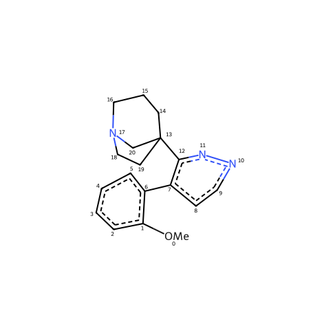 COc1ccccc1-c1ccnnc1C12CCCN(CC1)C2